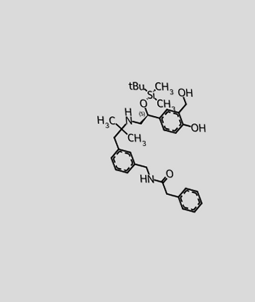 CC(C)(Cc1cccc(CNC(=O)Cc2ccccc2)c1)NC[C@@H](O[Si](C)(C)C(C)(C)C)c1ccc(O)c(CO)c1